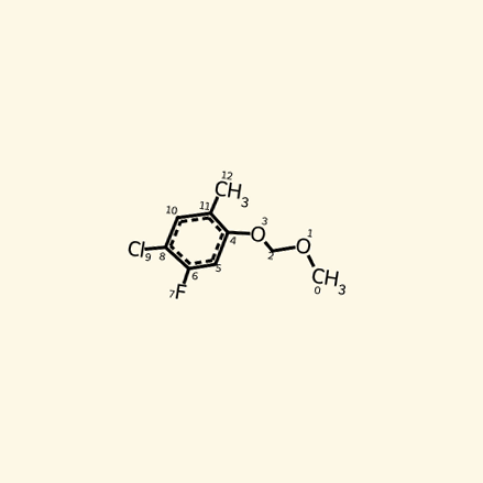 COCOc1cc(F)c(Cl)cc1C